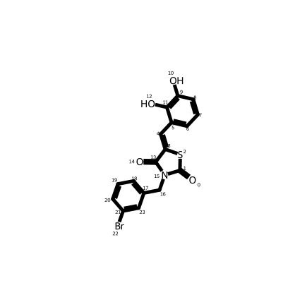 O=C1S/C(=C\c2cccc(O)c2O)C(=O)N1Cc1cccc(Br)c1